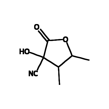 CC1OC(=O)C(O)(C#N)C1C